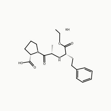 CCOC(=O)[C@H](CCc1ccccc1)N[C@@H](C)C(=O)N1CCC[C@H]1C(=O)O.[KH]